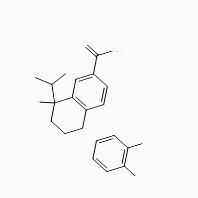 CC(C)C1(O)CC[C@@H](c2ccc(Cl)c(Cl)c2)c2ccc(C(N)=O)cc21